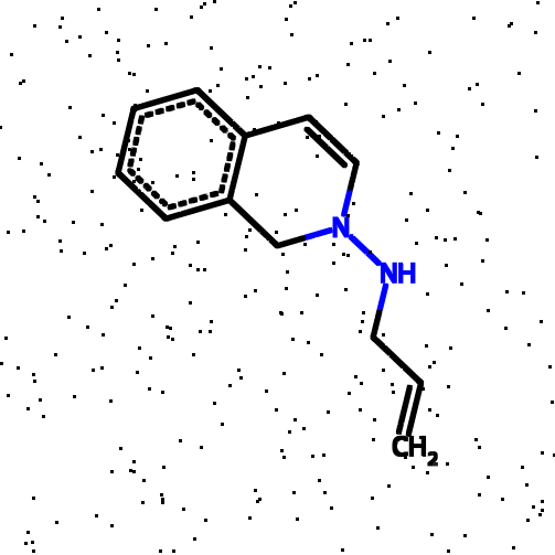 C=CCNN1C=Cc2ccccc2C1